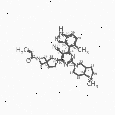 C=CC(=O)N1CC2(CCN(c3nc(N4CCC5C(CCN5C)C4)nc(-c4c(C)ccc5[nH]ncc45)c3C#N)C2)C1